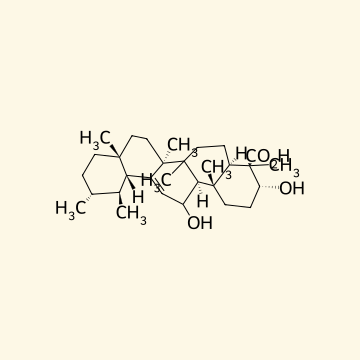 C[C@H]1[C@H](C)CC[C@]2(C)CC[C@]3(C)C(=CC(O)[C@H]4C3(C)CC[C@@H]3[C@]4(C)CC[C@@H](O)[C@]3(C)C(=O)O)[C@H]12